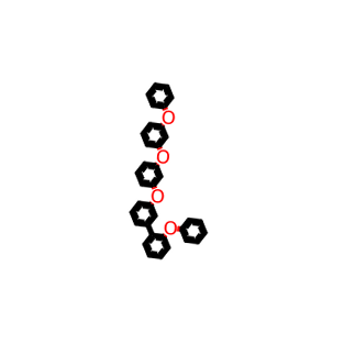 c1ccc(Oc2cccc(Oc3cccc(Oc4cccc(-c5ccccc5Oc5ccccc5)c4)c3)c2)cc1